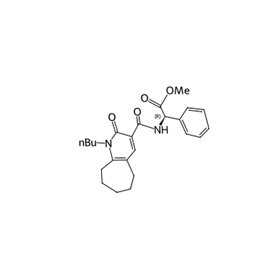 CCCCn1c2c(cc(C(=O)N[C@@H](C(=O)OC)c3ccccc3)c1=O)CCCCC2